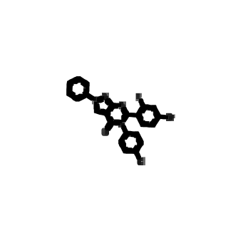 O=c1c2cn(-c3ccccc3)nc2nc(-c2ccc(Br)cc2F)n1-c1ccc(Cl)cc1